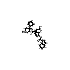 O=C(OC1C2CC3C1OC(=O)C3C2C(=O)OC1(c2ccccc2)CCNCC1)C1C=Cc2ccccc21